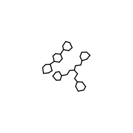 C1CCC(C2CCC(C3CCCCC3)CC2)CC1.C1CCC(CCC(CCC2CCCCC2)CCC2CCCCC2)CC1